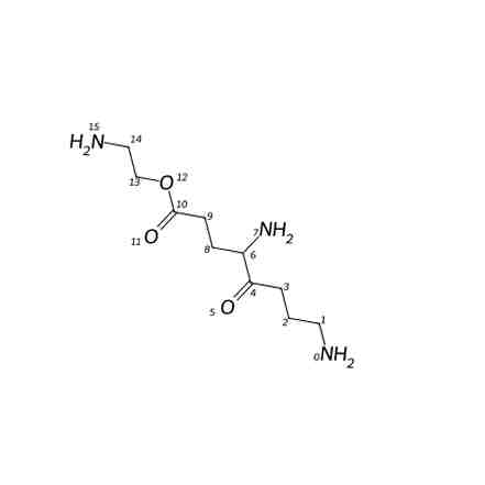 NCCCC(=O)C(N)CCC(=O)OCCN